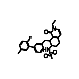 CCn1ccc2c(c1=O)C(Cc1cccc(-c3cc(C)ccc3F)c1)C(NS(C)(=O)=O)CC2